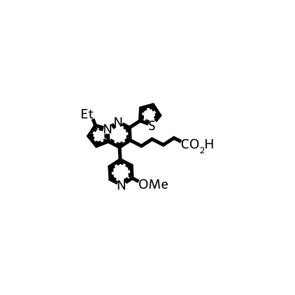 CCc1ccc2c(-c3ccnc(OC)c3)c(CCCCC(=O)O)c(-c3cccs3)nn12